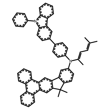 CC(C)=C/C=C(\C)N(c1ccc(-c2ccc3c(c2)c2ccccc2n3-c2ccccc2)cc1)c1ccc2c(c1)-c1cc3c4ccccc4c4ccccc4c3cc1C2(C)C